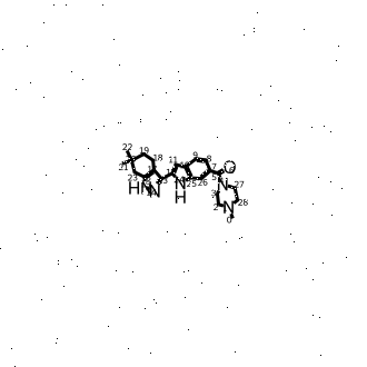 CN1CCN(C(=O)c2ccc3cc(-c4n[nH]c5c4CCC(C)(C)C5)[nH]c3c2)CC1